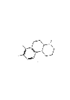 Br.CCCN1CCCC2c3ccc(O)c(O)c3CCC21